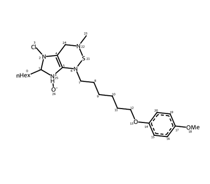 CCCCCCC1N(Cl)C2=C(N(CCCCCCOc3ccc(OC)cc3)SN(C)C2)[NH+]1[O-]